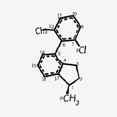 C[C@@H]1CCc2c(-c3c(Cl)cccc3Cl)cccc21